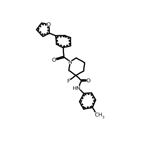 Cc1ccc(NC(=O)C2(F)CCCN(C(=O)c3cccc(-c4ccco4)c3)C2)cc1